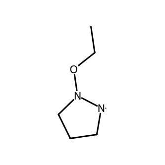 CCON1CCC[N]1